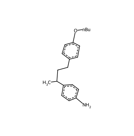 CCCCOc1ccc(CCC(C)c2ccc(N)cc2)cc1